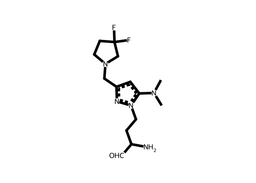 CN(C)c1cc(CN2CCC(F)(F)C2)nn1CCC(N)C=O